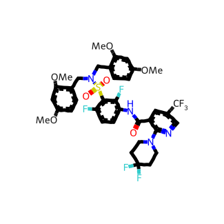 COc1ccc(CN(Cc2ccc(OC)cc2OC)S(=O)(=O)c2c(F)ccc(NC(=O)c3cc(C(F)(F)F)cnc3N3CCC(F)(F)CC3)c2F)c(OC)c1